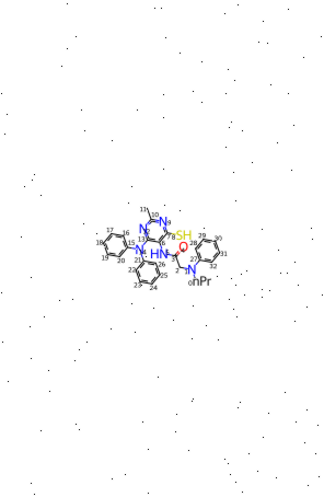 CCCN(CC(=O)Nc1c(S)nc(C)nc1N(c1ccccc1)c1ccccc1)c1ccccc1